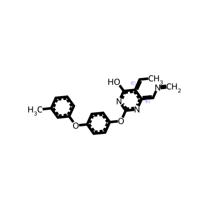 C=N/C=c1/nc(Oc2ccc(Oc3cccc(C)c3)cc2)nc(O)/c1=C/C